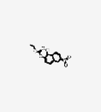 CCOC(=O)OC1=CC=C2CC(=S(=O)=O)C=CC2C1Cl